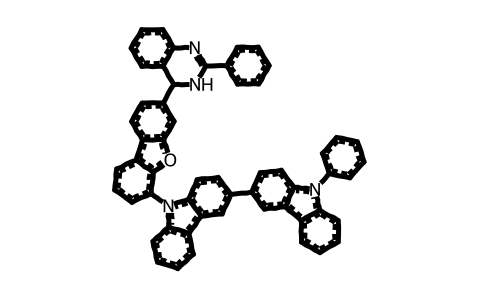 c1ccc(C2=Nc3ccccc3C(c3ccc4c(c3)oc3c(-n5c6ccccc6c6cc(-c7ccc8c(c7)c7ccccc7n8-c7ccccc7)ccc65)cccc34)N2)cc1